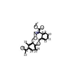 CO/N=C(/C(=O)OC)c1ccccc1COc1cc(C)c(C(C)=O)cc1C